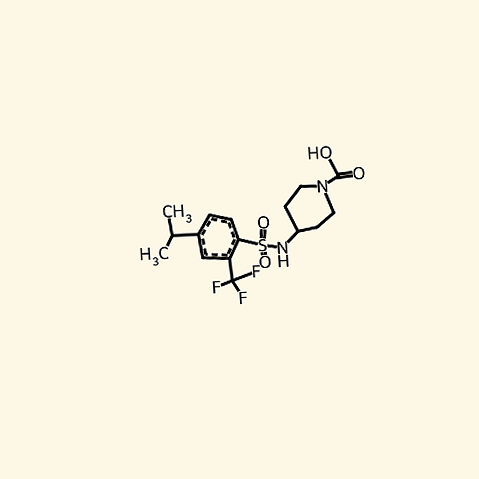 CC(C)c1ccc(S(=O)(=O)NC2CCN(C(=O)O)CC2)c(C(F)(F)F)c1